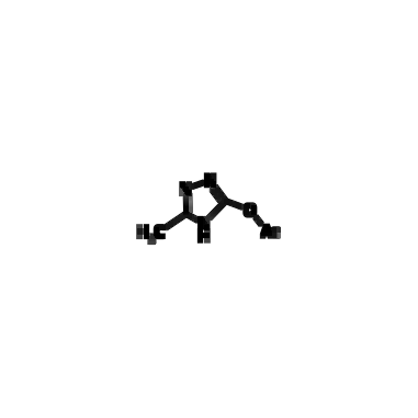 CC(=O)Oc1nnc(C)[nH]1